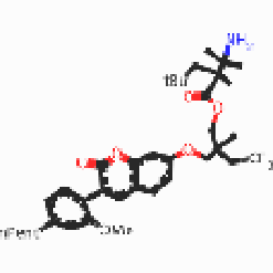 CCCCCc1ccc(-c2cc3ccc(OCC(C)(COC(=O)C(C)(CC(C)(C)C)C(C)(C)N)CC(F)(F)F)cc3oc2=O)c(OC)c1